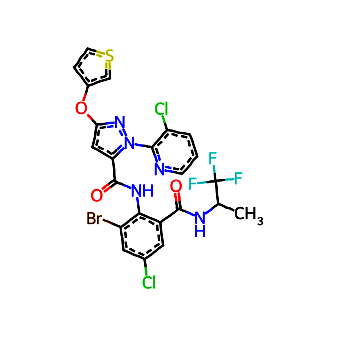 CC(NC(=O)c1cc(Cl)cc(Br)c1NC(=O)c1cc(Oc2ccsc2)nn1-c1ncccc1Cl)C(F)(F)F